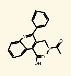 CC(=O)N(C)Cc1c(-c2ccccc2)nc2ccccc2c1C(=O)O